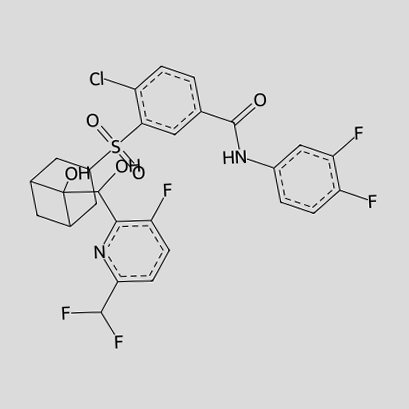 O=C(Nc1ccc(F)c(F)c1)c1ccc(Cl)c(S(=O)(=O)C2CC3CC(C2)C3(O)C(O)c2nc(C(F)F)ccc2F)c1